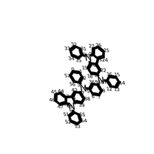 c1ccc(N(c2cccc(N(c3ccccc3)c3ccc4c(c3)c3ccccc3n4-c3ccccc3)c2)c2ccc3c(c2)c2ccccc2n3-c2ccccc2)cc1